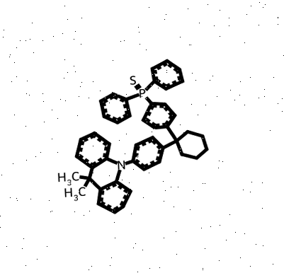 CC1(C)c2ccccc2N(c2ccc(C3(c4ccc(P(=S)(c5ccccc5)c5ccccc5)cc4)CCCCC3)cc2)c2ccccc21